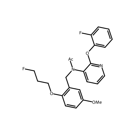 COc1ccc(OCCCF)c(CN(C(C)=O)c2cccnc2Oc2ccccc2F)c1